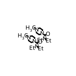 CCN(CC)C(=O)N1CCN(C)CC1.CCN(CC)C(=O)N1CCN(C)CC1